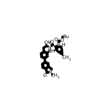 C[C@H]1C2C1[C@@H]1C[C@H]2[C@@H](C(=O)N[C@H](C#N)Cc2ccc(-c3ccc4c(c3)CN(C)C4=O)cc2F)N1C(=O)OC(C)(C)C